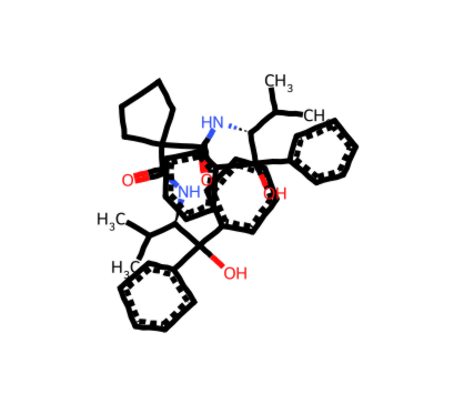 CC(C)[C@@H](NC(=O)C1(C(=O)N[C@H](C(C)C)C(O)(c2ccccc2)c2ccccc2)CCCC1)C(O)(c1ccccc1)c1ccccc1